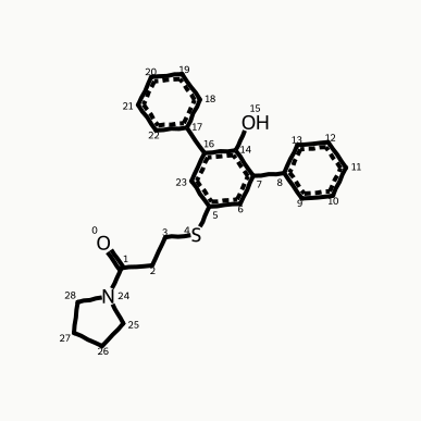 O=C(CCSc1cc(-c2ccccc2)c(O)c(-c2ccccc2)c1)N1CCCC1